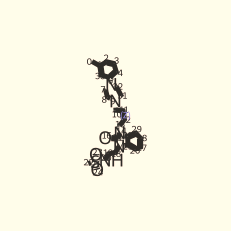 Cc1cccc(N2CCN(C/C=C\Cn3c(=O)n(CCNS(C)(=O)=O)c4ccccc43)CC2)c1